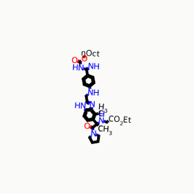 CCCCCCCCOC(=O)NC(=N)c1ccc(NCc2nc3c(C)c(C(C)(NCC(=O)OCC)C(=O)N4CCCC4)ccc3[nH]2)cc1